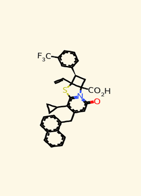 C=CC12Sc3c(C4CC4)c(Cc4cccc5ccccc45)cc(=O)n3C1(C(=O)O)C[C@@H]2c1cccc(C(F)(F)F)c1